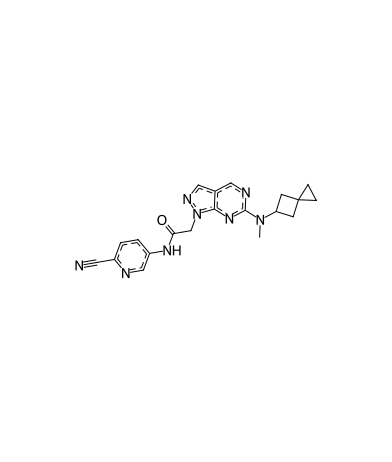 CN(c1ncc2cnn(CC(=O)Nc3ccc(C#N)nc3)c2n1)C1CC2(CC2)C1